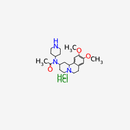 COc1cc2c(cc1OC)C1CC(N(C(C)=O)C3CCNCC3)CCN1CC2.Cl.Cl